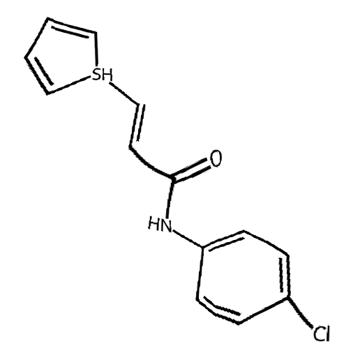 O=C(C=C[SH]1C=CC=C1)Nc1ccc(Cl)cc1